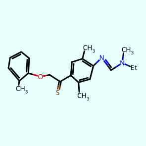 CCN(C)C=Nc1cc(C)c(C(=S)COc2ccccc2C)cc1C